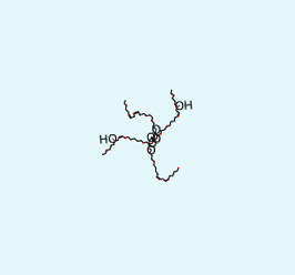 CCCCC/C=C\C/C=C\CCCCCCCCOCC(CCCCCCCC/C=C\C[C@H](O)CCCCCC)OC(=O)OC(CCCCCCCC/C=C\C[C@H](O)CCCCCC)COCCCCCCCC/C=C\C/C=C\CCCCC